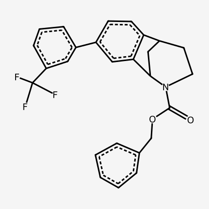 O=C(OCc1ccccc1)N1CCC2CC1c1cc(-c3cccc(C(F)(F)F)c3)ccc12